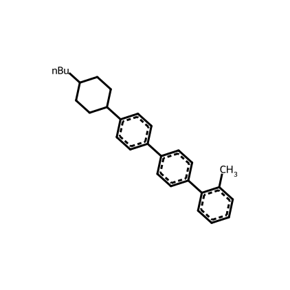 CCCCC1CCC(c2ccc(-c3ccc(-c4ccccc4C)cc3)cc2)CC1